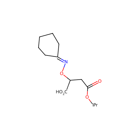 CC(C)OC(=O)CC(ON=C1CCCCC1)C(=O)O